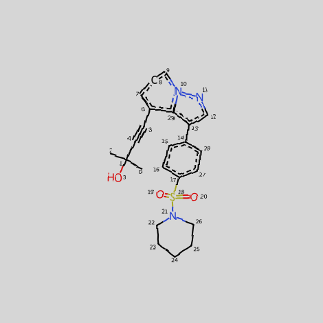 CC(C)(O)C#Cc1cccn2ncc(-c3ccc(S(=O)(=O)N4CCCCC4)cc3)c12